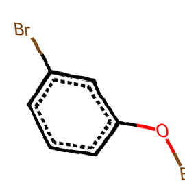 BrOc1cccc(Br)c1